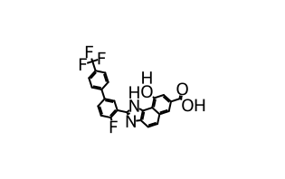 O=C(O)c1cc(O)c2c(ccc3nc(-c4cc(-c5ccc(C(F)(F)F)cc5)ccc4F)[nH]c32)c1